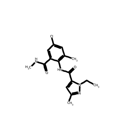 CCn1nc(C)cc1C(=O)Nc1c(C)cc(Cl)cc1C(=O)NC